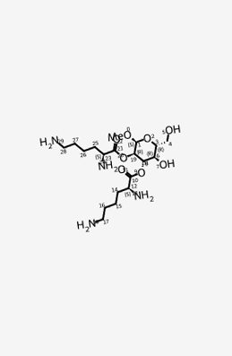 CO[C@H]1O[C@H](CO)[C@@H](O)[C@H](OC(=O)[C@@H](N)CCCCN)[C@H]1OC(=O)[C@@H](N)CCCCN